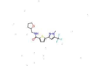 Cn1nc(-c2ccc(C(=O)NCC3CCCO3)s2)cc1C(F)(F)F